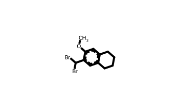 COc1cc2c(cc1C(Br)Br)CCCC2